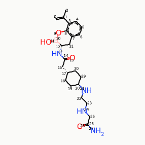 C=C(C)c1cccc2c1OB(O)[C@@H](NC(=O)C[C@H]1CC[C@H](NCCNCC(N)=O)CC1)C2